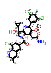 CCOc1c(CC(N)=O)cc([C@@](O)(CNC(=O)c2cc(Cl)c3ncc(C)cc3c2)C2CC2)nc1-c1cc(Cl)c(F)c(Cl)c1